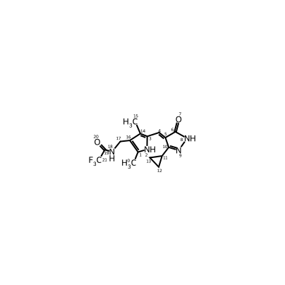 Cc1[nH]c(/C=C2/C(=O)NN=C2C2CC2)c(C)c1CNC(=O)C(F)(F)F